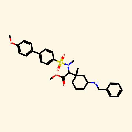 COC(=O)C(N(C)S(=O)(=O)c1ccc(-c2ccc(OC)cc2)cc1)C1(C)CCCC(NCc2ccccc2)C1